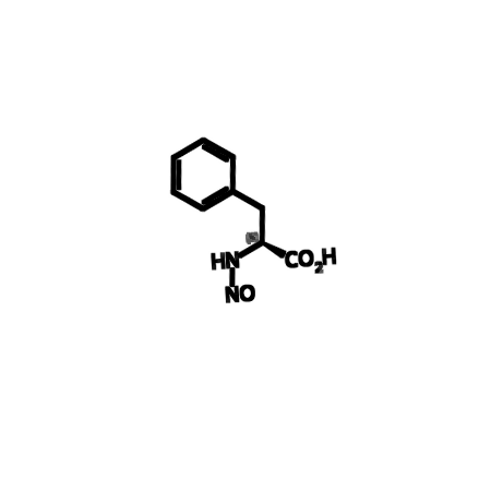 O=NN[C@@H](Cc1ccccc1)C(=O)O